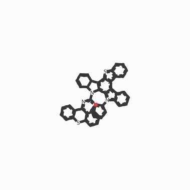 C1=CC2c3c(c4c(c5ccccc5n4-c4ccccc4)c4c3sc3ccccc34)N(c3nc4c5c(cccc5n3)Sc3ccccc3-4)C2C=C1